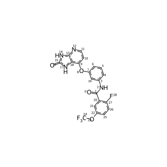 O=C(Nc1cccc(Oc2ccnc3[nH]c(=O)[nH]c23)c1)c1cc(OC(F)(F)F)ccc1F